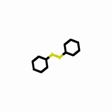 C1CCC(SSC2CCCCC2)CC1